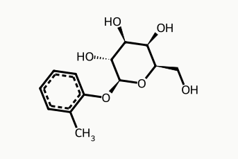 Cc1ccccc1O[C@@H]1O[C@H](CO)[C@H](O)[C@H](O)[C@H]1O